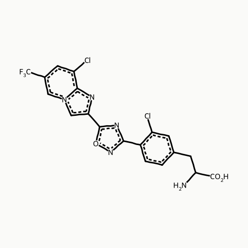 NC(Cc1ccc(-c2noc(-c3cn4cc(C(F)(F)F)cc(Cl)c4n3)n2)c(Cl)c1)C(=O)O